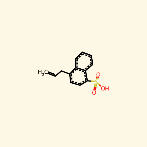 C=CCc1ccc(S(=O)(=O)O)c2ccccc12